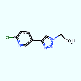 O=C(O)Cn1cc(-c2ccc(Cl)nc2)nn1